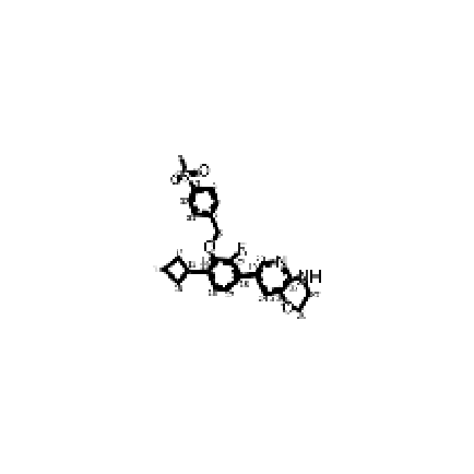 CS(=O)(=O)c1ccc(COc2c(C3CCC3)ccc(-c3cnc4c(c3)OCCN4)c2F)cc1